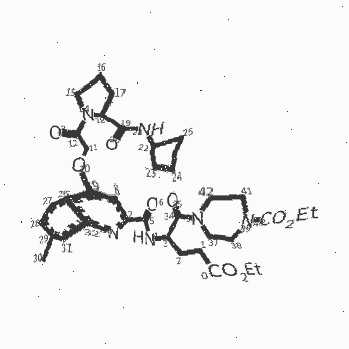 CCOC(=O)CCC(NC(=O)c1cc(OCC(=O)N2CCCC2C(=O)NC2CCC2)c2ccc(C)cc2n1)C(=O)N1CCN(C(=O)OCC)CC1